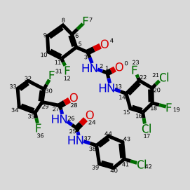 O=C(NC(=O)c1c(F)cccc1F)Nc1cc(Cl)c(F)c(Cl)c1F.O=C(NC(=O)c1c(F)cccc1F)Nc1ccc(Cl)cc1